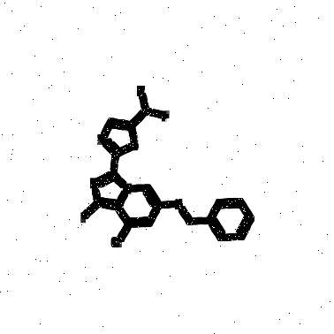 FC(F)c1cnc(-c2nc(I)c3c(Cl)cc(SCc4ccccc4)cn23)s1